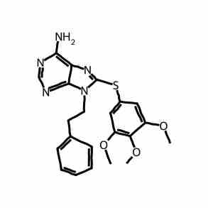 COc1cc(Sc2nc3c(N)ncnc3n2CCc2ccccc2)cc(OC)c1OC